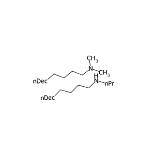 CCCCCCCCCCCCCCN(C)C.CCCCCCCCCCCCCCNCCC